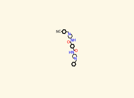 N#Cc1ccc(CN2CCC(NC(=O)c3ccc(C(=O)NC4CCN(Cc5ccccc5)CC4)cc3)CC2)cc1